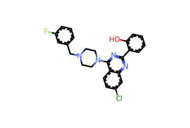 Oc1ccccc1-c1nc(N2CCN(Cc3cccc(F)c3)CC2)c2ccc(Cl)cc2n1